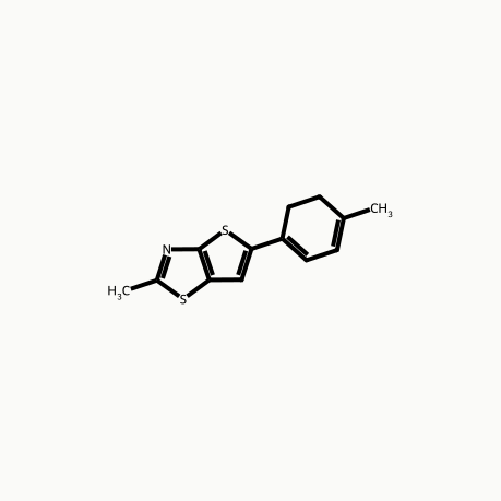 CC1=CC=C(c2cc3sc(C)nc3s2)CC1